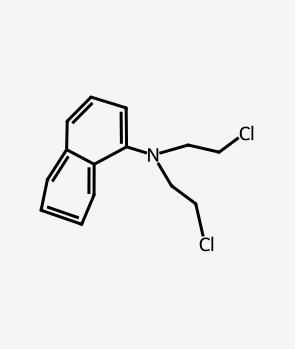 ClCCN(CCCl)c1cccc2ccccc12